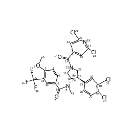 COc1ccc(C(=O)N(C)[C@@H]2CN(C(=O)c3cc(Cl)nc(Cl)c3)C[C@H]2c2ccc(Cl)c(Cl)c2)cc1C(F)(F)F